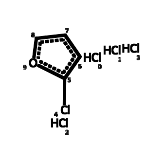 Cl.Cl.Cl.Cl.Clc1ccco1